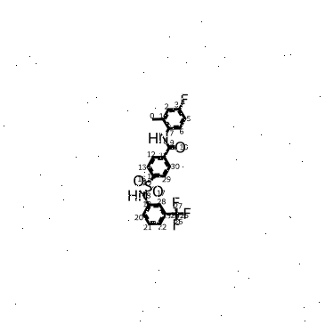 Cc1cc(F)ccc1NC(=O)c1ccc(S(=O)(=O)Nc2cccc(C(F)(F)F)c2)cc1